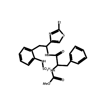 CCc1nc(C(Cc2ccccc2NS(=O)(=O)O)NC(=O)C(Cc2ccccc2)NC(=O)OC)cs1